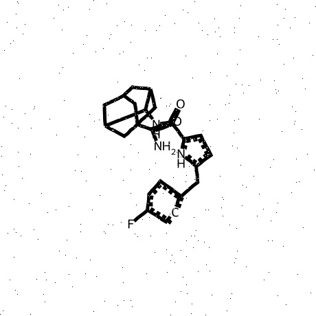 NC(=O)C12CC3CC(C1)C(NC(=O)c1ccc(Cc4ccc(F)cc4)[nH]1)C(C3)C2